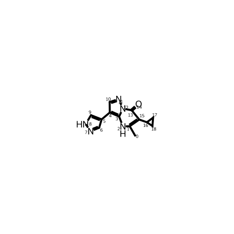 Cc1[nH]c2c(-c3cn[nH]c3)cnn2c(=O)c1C1CC1